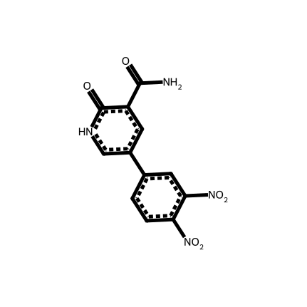 NC(=O)c1cc(-c2ccc([N+](=O)[O-])c([N+](=O)[O-])c2)c[nH]c1=O